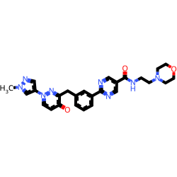 Cn1cc(-n2ccc(=O)c(Cc3cccc(-c4ncc(C(=O)NCCN5CCOCC5)cn4)c3)n2)cn1